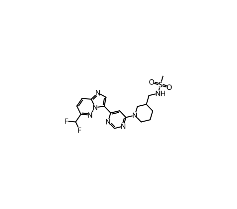 CS(=O)(=O)NCC1CCCN(c2cc(-c3cnc4ccc(C(F)F)nn34)ncn2)C1